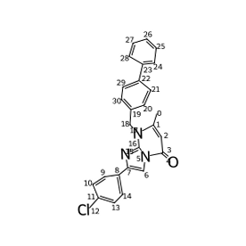 Cc1cc(=O)n2cc(-c3ccc(Cl)cc3)nc2n1Cc1ccc(-c2ccccc2)cc1